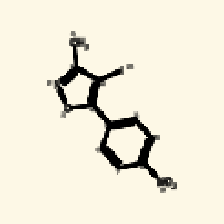 Cc1noc(-c2ccc([N+](=O)[O-])cc2)c1I